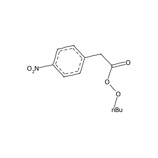 CCCCOOC(=O)Cc1ccc([N+](=O)[O-])cc1